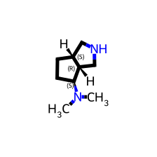 CN(C)[C@H]1CC[C@@H]2CNC[C@@H]21